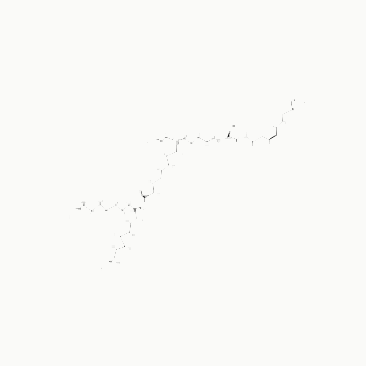 CCCCC/C=C\CCCOC(=O)OCCCCCN(CCC)CCCCCCCC(=O)OC(CCCCCCCC)CCCCCCCC